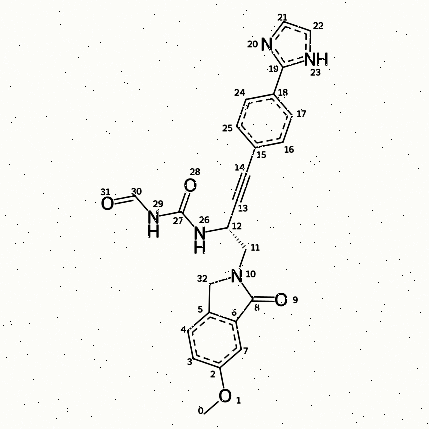 COc1ccc2c(c1)C(=O)N(C[C@@H](C#Cc1ccc(-c3ncc[nH]3)cc1)NC(=O)NC=O)C2